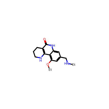 CCNCc1cc(OCC)c2c3c(c(=O)[nH]c2c1)CCCN3